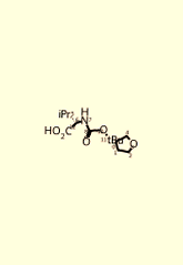 C1CCOC1.CC(C)[C@H](NC(=O)OC(C)(C)C)C(=O)O